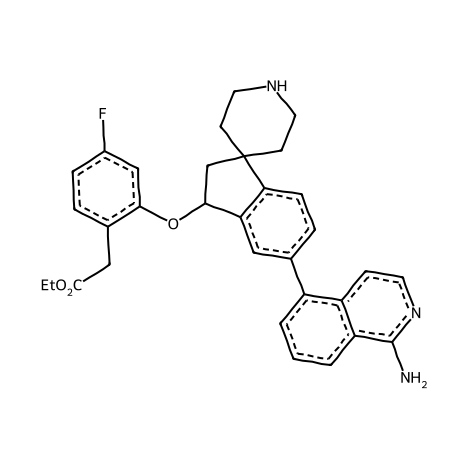 CCOC(=O)Cc1ccc(F)cc1OC1CC2(CCNCC2)c2ccc(-c3cccc4c(N)nccc34)cc21